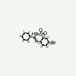 O=S1(=O)NC(c2ccccc2)=Nc2ccc(Br)cc21